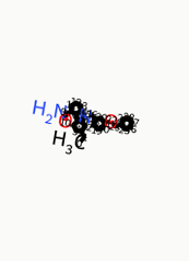 CCc1c[c]c2c3c(C(N)=O)cccc3n(Cc3cccc(OCc4ccccc4)c3)c2c1